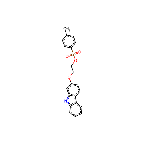 Cc1ccc(S(=O)(=O)OCCOc2ccc3c(c2)[nH]c2ccccc23)cc1